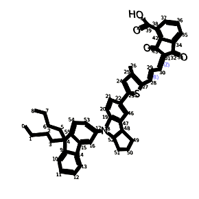 CCCCC1(CCCC)c2ccccc2-c2cc(N3c4ccc(-c5cc(C)c(/C=C/C=C6/C(=O)c7cccc(C(=O)O)c7C6=O)s5)cc4C4CCCC43)ccc21